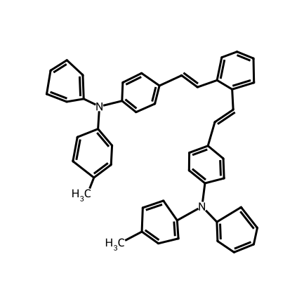 Cc1ccc(N(c2ccccc2)c2ccc(/C=C/c3ccccc3/C=C/c3ccc(N(c4ccccc4)c4ccc(C)cc4)cc3)cc2)cc1